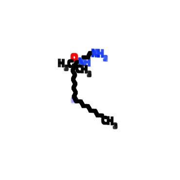 CCCCCCCC/C=C\CCCCCCC(C)(C)C(=O)NCCCN